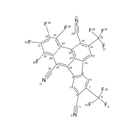 N#Cc1cc2c(cc1C(F)(F)F)-c1cc(C(F)(F)F)c(C#N)c3c1c-2c(C#N)c1c(F)c(F)c(F)c(F)c13